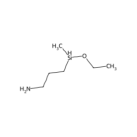 CCO[SiH](C)CCCN